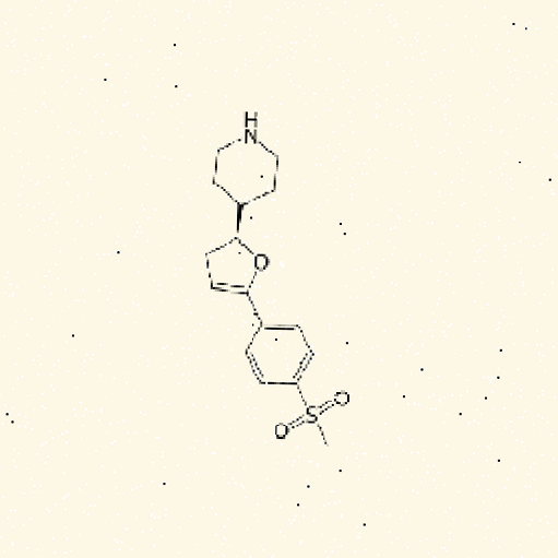 CS(=O)(=O)c1ccc(C2=CC[C@@H](C3CCNCC3)O2)cc1